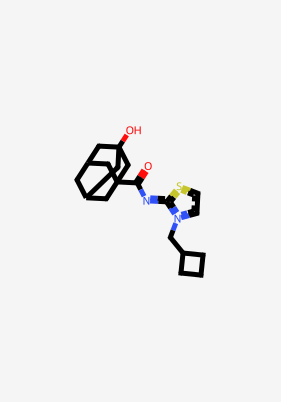 O=C(/N=c1\sccn1CC1CCC1)C12CC3CC(CC(O)(C3)C1)C2